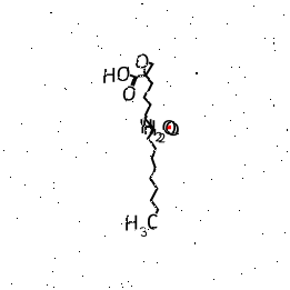 CCCCCCCCCCCCCCC1(C(=O)O)CO1.O.O